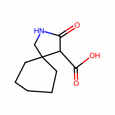 O=C(O)C1C(=O)NCC12CCCCC2